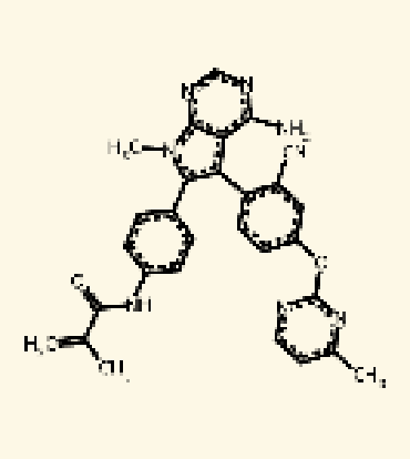 C=C(C)C(=O)Nc1ccc(-c2c(-c3ccc(Oc4nccc(C)n4)cc3C#N)c3c(N)ncnc3n2C)cc1